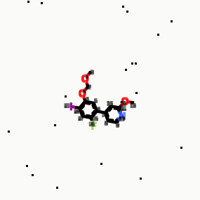 COCOc1cc(-c2ccnc(OC)c2)c(F)cc1I